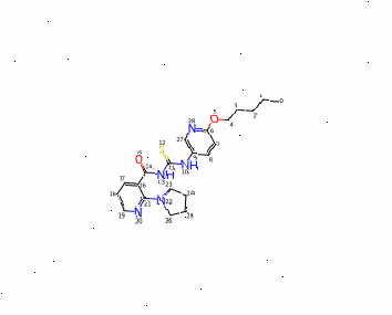 CCCCCOc1ccc(NC(=S)NC(=O)c2cccnc2N2CCCC2)cn1